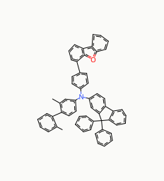 Cc1ccccc1-c1ccc(N(c2ccc(-c3cccc4c3oc3ccccc34)cc2)c2ccc3c(c2)C(c2ccccc2)(c2ccccc2)c2ccccc2-3)cc1C